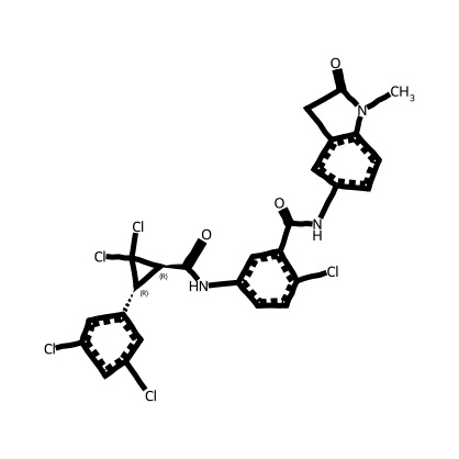 CN1C(=O)Cc2cc(NC(=O)c3cc(NC(=O)[C@H]4[C@H](c5cc(Cl)cc(Cl)c5)C4(Cl)Cl)ccc3Cl)ccc21